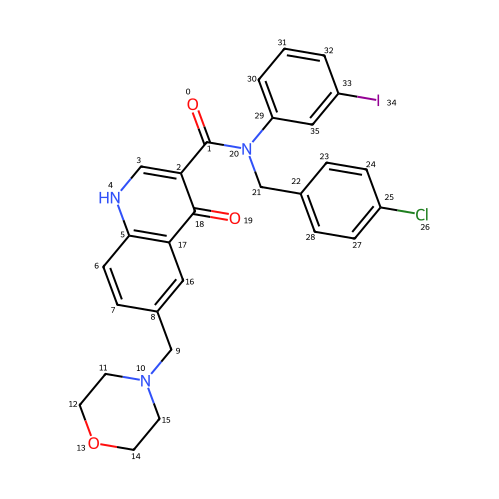 O=C(c1c[nH]c2ccc(CN3CCOCC3)cc2c1=O)N(Cc1ccc(Cl)cc1)c1cccc(I)c1